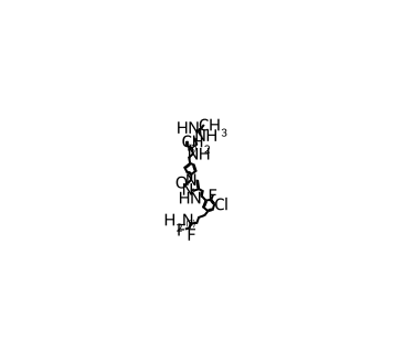 C=C[C@@H](CCNC(C)=N)NCc1ccc(-n2cc3cc(-c4cc(CCC[C@H](N)C(F)F)cc(Cl)c4F)[nH]c3nc2=O)cc1